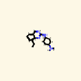 CCc1cccc2cnc(NC3CCC(N(C)C)CC3)nc12